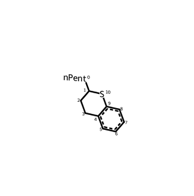 [CH2]CCCCC1CCc2ccccc2S1